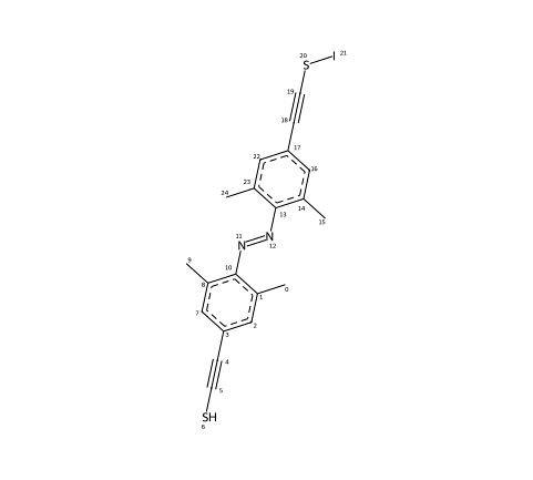 Cc1cc(C#CS)cc(C)c1/N=N/c1c(C)cc(C#CSI)cc1C